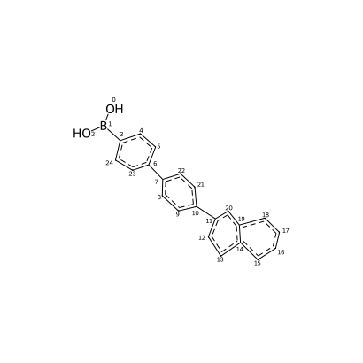 OB(O)c1ccc(-c2ccc(-c3ccc4ccccc4c3)cc2)cc1